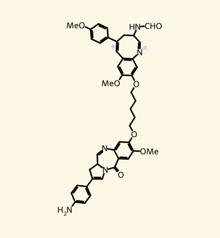 COc1ccc(/C2=C/c3cc(OC)c(OCCCCCOc4cc5c(cc4OC)C(=O)N4C=C(c6ccc(N)cc6)CC4C=N5)cc3/N=C\C(NC=O)C2)cc1